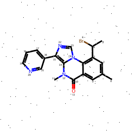 Cc1cc(C(C)Br)c2c(c1)c(=O)n(C)c1c(-c3cccnc3)ncn21